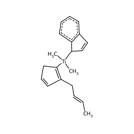 CC=CCC1=[C]([Ti]([CH3])([CH3])[CH]2C=Cc3ccccc32)CC=C1